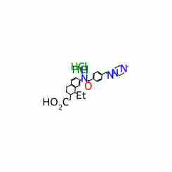 CCC1c2cc(NC(=O)c3ccc(C=NN4CCN(C)CC4)cc3)ccc2CCC1CC(=O)O.Cl.Cl